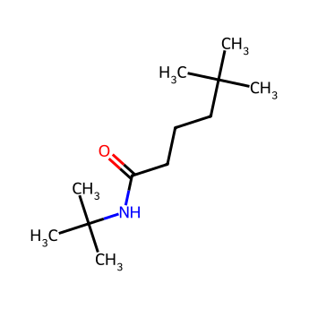 CC(C)(C)CCCC(=O)NC(C)(C)C